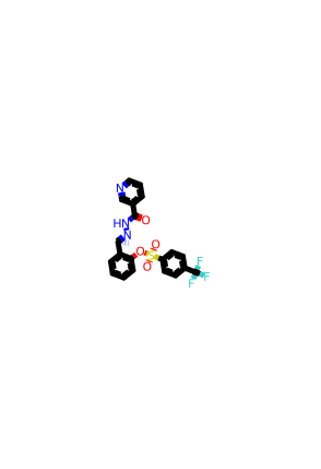 O=C(N/N=C/c1ccccc1OS(=O)(=O)c1ccc(C(F)(F)F)cc1)c1cccnc1